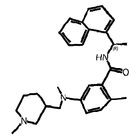 Cc1ccc(N(C)CC2CCCN(C)C2)cc1C(=O)N[C@H](C)c1cccc2ccccc12